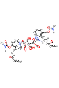 CCN(C)C(=O)Oc1cccc2c1C(CCC(=O)OC)CN2OC(=O)C(O)C(O)C(=O)ON1CC(CCC(=O)OC)c2c(OC(=O)N(C)CC)cccc21